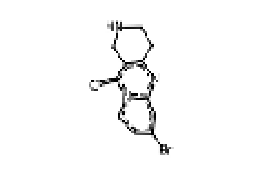 O=c1c2c(nc3cc(Br)ccn13)CCNC2